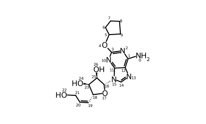 Nc1nc(OC2CCCC2)nc2c1ncn2[C@@H]1O[C@H](/C=C\CO)[C@@H](O)[C@H]1O